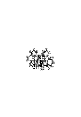 COc1ccc2ccccc2c1N(C)C(=N)N(C)C1c2ccccc2-c2ccccc21